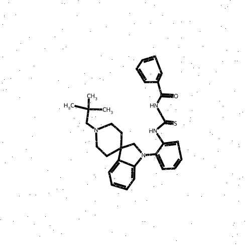 CC(C)(C)CN1CCC2(CC1)CN(c1ccccc1NC(=S)NC(=O)c1ccccc1)c1ccccc12